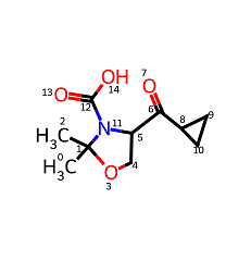 CC1(C)OCC(C(=O)C2CC2)N1C(=O)O